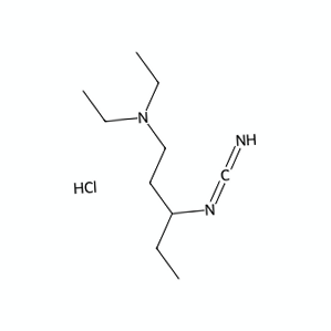 CCC(CCN(CC)CC)N=C=N.Cl